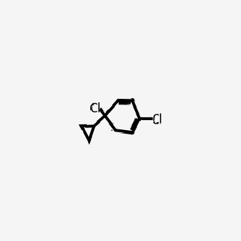 ClC1=C[CH]C(Cl)(C2CC2)C=C1